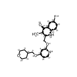 Cc1c(COc2cc(OCC3CCOCC3)ccn2)[nH]c2ccc(F)cc2c1=O